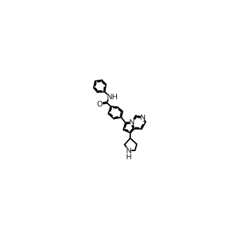 O=C(Nc1ccccc1)c1ccc(-c2cc(C3CCNC3)c3ccncn23)cc1